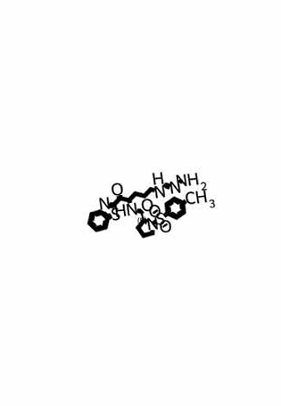 Cc1ccc(S(=O)(=O)N2CCC[C@H]2C(=O)NC(CCCNC=NN)C(=O)c2nc3ccccc3s2)cc1